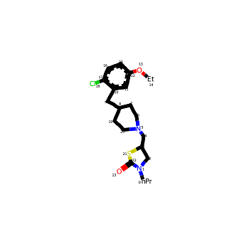 CCCN1CC(CN2CCC(Cc3cc(OCC)ccc3Cl)CC2)SC1=O